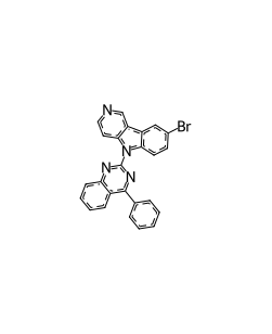 Brc1ccc2c(c1)c1cnccc1n2-c1nc(-c2ccccc2)c2ccccc2n1